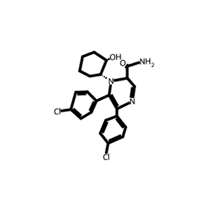 NC(=O)C1C=NC(c2ccc(Cl)cc2)=C(c2ccc(Cl)cc2)N1[C@@H]1CCCC[C@@H]1O